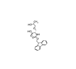 CC(O)COC[C@H](NC(=O)OCC1c2ccccc2-c2ccccc21)C(=O)O